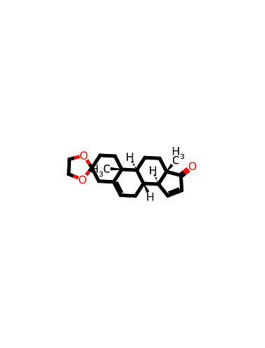 C[C@]12CCC3(CC1=CC[C@@H]1[C@@H]2CC[C@]2(C)C(=O)C=C[C@@H]12)OCCO3